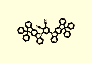 N#Cc1cc(-n2c3ccccc3c3cc4c(cc32)-c2ccccc2C4(c2ccccc2)c2ccccc2)cc(-n2c3ccccc3c3cc4c(cc32)-c2ccccc2C4(c2ccccc2)c2ccccc2)c1C#N